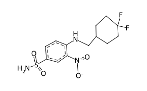 NS(=O)(=O)c1ccc(NCC2CCC(F)(F)CC2)c([N+](=O)[O-])c1